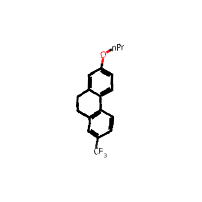 CCCOc1ccc2c(c1)CCc1cc(C(F)(F)F)ccc1-2